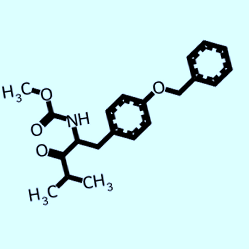 COC(=O)NC(Cc1ccc(OCc2ccccc2)cc1)C(=O)C(C)C